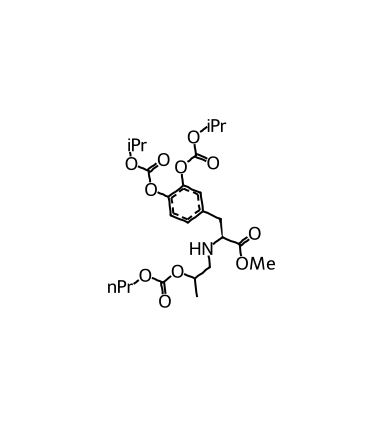 CCCOC(=O)OC(C)CN[C@@H](Cc1ccc(OC(=O)OC(C)C)c(OC(=O)OC(C)C)c1)C(=O)OC